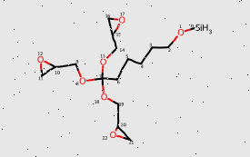 [SiH3]OCCCCCC(OCC1CO1)(OCC1CO1)OCC1CO1